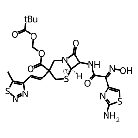 Cc1snnc1C=CC1(C(=O)OCOC(=O)C(C)(C)C)CS[C@@H]2C(NC(=O)C(=NO)c3csc(N)n3)C(=O)N2C1